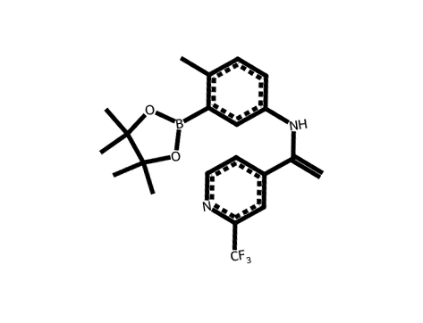 C=C(Nc1ccc(C)c(B2OC(C)(C)C(C)(C)O2)c1)c1ccnc(C(F)(F)F)c1